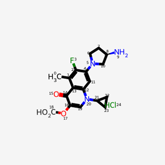 Cc1c(F)c(N2CC[C@@H](N)C2)cc2c1c(=O)c(OC(=O)O)cn2C1CC1.Cl